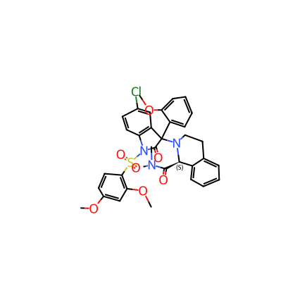 COc1ccc(S(=O)(=O)N2C(=O)C(c3ccccc3OC)(N3CCc4ccccc4[C@H]3C(=O)N(C)C)c3cc(Cl)ccc32)c(OC)c1